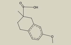 COc1ccc2c(c1)CC(C)(C(=O)O)CC2